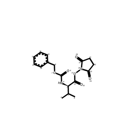 CC(C)[C@@H](NC(=O)OCc1ccccc1)C(=O)ON1C(=O)CCC1=O